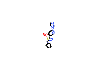 Oc1cc(-n2ccnc2)ncc1-c1nnc(/C=C2\CCCC[C@H]2F)s1